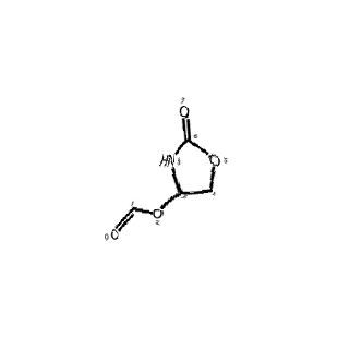 O=COC1COC(=O)N1